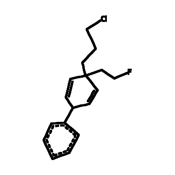 FCCC1(CCCCl)C=CC(c2ccccc2)C=C1